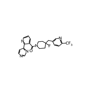 O=C(c1cccnc1-c1ccncn1)N1CCC(F)(Cc2ccc(C(F)(F)F)nc2)CC1